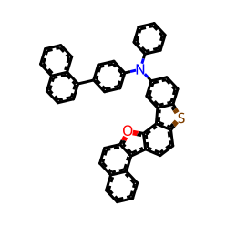 c1ccc(N(c2ccc(-c3cccc4ccccc34)cc2)c2ccc3sc4ccc5c(oc6ccc7ccccc7c65)c4c3c2)cc1